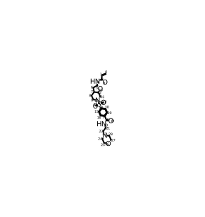 C=CC(=O)NC1CC2CCN(S(=O)(=O)c3ccc(C(=O)NCCN4CCOCC4)cc3)CC2O1